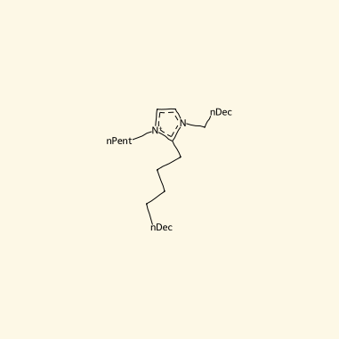 CCCCCCCCCCCCCCc1n(CCCCCCCCCCC)cc[n+]1CCCCC